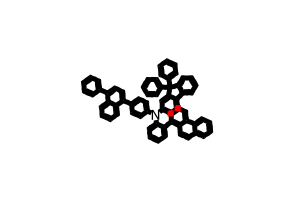 c1ccc(-c2ccc(-c3ccc(N(c4ccc5c(c4)C(c4ccccc4)(c4ccccc4)c4ccccc4-5)c4ccccc4-c4cccc5c4ccc4ccccc45)cc3)c3ccccc23)cc1